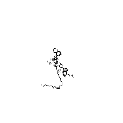 CCCCCC/C=C\C/C=C\CCCCCCCCOC(=O)[C@H](C)NP(=O)(OC[C@H]1O[C@@H](c2ccc3c(N)ncnn23)[C@H](O)[C@@H]1O)Oc1cccc2ccccc12